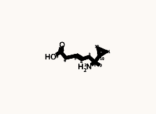 CC(N)(C/C=C/CC(=O)O)C1CC1